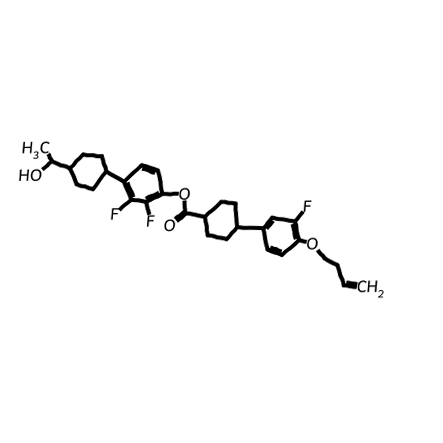 C=CCCOc1ccc(C2CCC(C(=O)Oc3ccc(C4CCC(C(C)O)CC4)c(F)c3F)CC2)cc1F